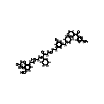 CC(C)c1nc(C(=O)N2CCOC3(CCN(Cc4cc(F)cc(CCOCCC(=O)N(CCNCCc5ccc(O)c6c5OCC(=O)N6)C5CCCCC5)c4)CC3)C2)cs1